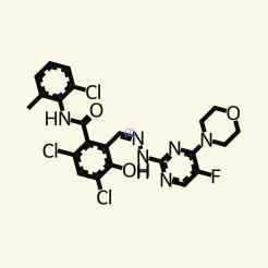 Cc1cccc(Cl)c1NC(=O)c1c(Cl)cc(Cl)c(O)c1/C=N\Nc1ncc(F)c(N2CCOCC2)n1